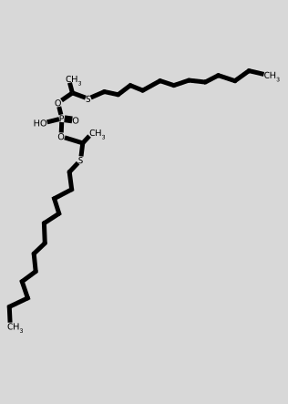 CCCCCCCCCCCCSC(C)OP(=O)(O)OC(C)SCCCCCCCCCCCC